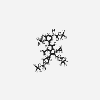 CC(C)c1nc(-c2cc(NC(=O)OC(C)(C)C)cc(F)c2OC(F)(F)F)c(F)c2c1c(C1C3CN(C(=O)OC(C)(C)C)CC31)c(CO[Si](C)(C)C(C)(C)C)n2C1CC1